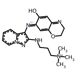 C[N+](C)(C)CCCNc1nn2ccccc2c1/N=C1\C=C2OCCN=C2C=C1O